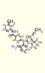 CC#CC(=O)N1C2(c3nc(-c4ccc(C(=O)Nc5cc(C)ccn5)cc4)c4c(N)nccn34)CCC3CCC312